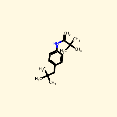 C=C(Nc1ccc(CC(C)(C)C)cc1)C(C)(C)C